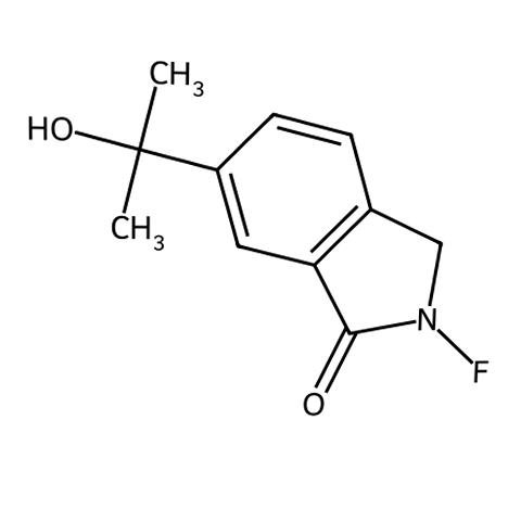 CC(C)(O)c1ccc2c(c1)C(=O)N(F)C2